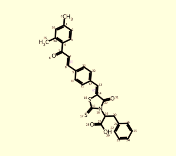 Cc1ccc(C(=O)/C=C/c2ccc(/C=C3\SC(=S)N(C(Cc4ccccc4)C(=O)O)C3=O)cc2)c(C)c1